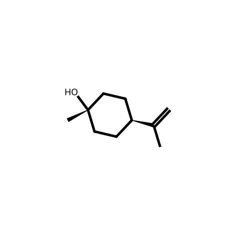 C=C(C)[C@H]1CC[C@](C)(O)CC1